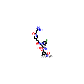 CCCN(CCC)C(=O)c1cc(C)cc(C(=O)N[C@@H](Cc2cc(F)cc(F)c2)[C@H](O)CCNC(=O)CCC2CCN(C(=O)CCc3cnc[nH]3)CC2)c1